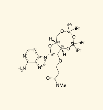 CNC(=O)CCOC1[C@H]2O[Si](C(C)C)(C(C)C)O[Si](C(C)C)(C(C)C)OC[C@H]2O[C@H]1n1cnc2c(N)ncnc21